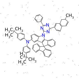 CC1C=Cc2ccc(-c3nc(-c4ccccc4)nc(-n4c5c(c6cc(N(c7ccc(C(C)(C)C)cc7)c7ccc(C(C)(C)C)cc7)ccc64)C4(c6ccccc6-c6ccccc64)c4ccccc4-5)n3)cc2C1